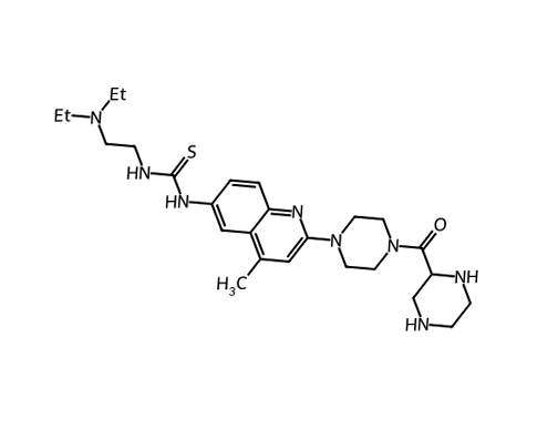 CCN(CC)CCNC(=S)Nc1ccc2nc(N3CCN(C(=O)C4CNCCN4)CC3)cc(C)c2c1